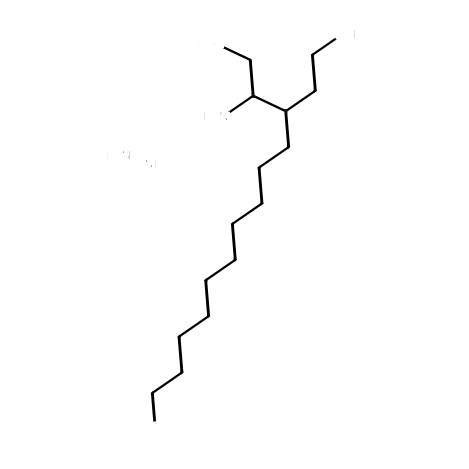 CCCCCCCCCCCC(CCC)C(N)CC.N.N